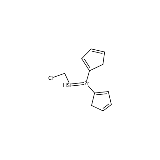 ClC[SiH]=[Zr]([C]1=CC=CC1)[C]1=CC=CC1